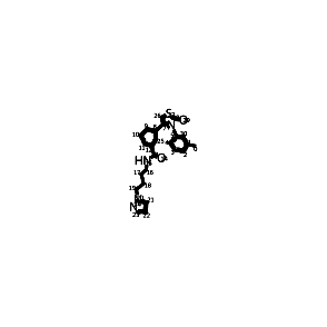 Cc1cccc(-n2c(-c3cccc(C(=O)NCCCCn4cccn4)c3)csc2=O)c1